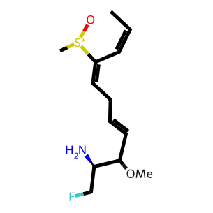 C/C=C\C(=C/C/C=C/C(OC)[C@H](N)CF)[S+](C)[O-]